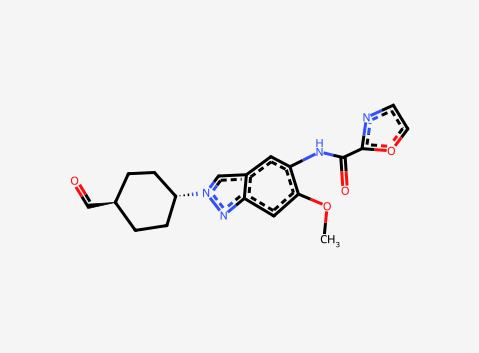 COc1cc2nn([C@H]3CC[C@H](C=O)CC3)cc2cc1NC(=O)c1ncco1